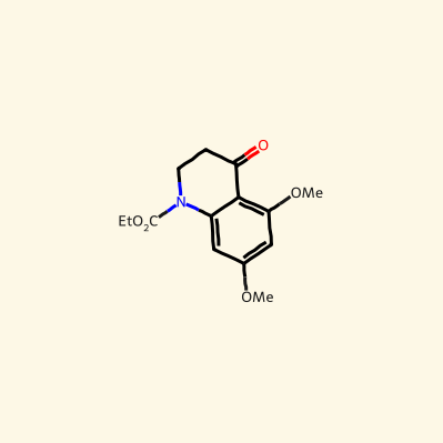 CCOC(=O)N1CCC(=O)c2c(OC)cc(OC)cc21